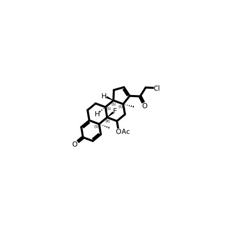 CC(=O)OC1C[C@]2(C)C(C(=O)CCl)=CC[C@H]2[C@@H]2CCC3=CC(=O)C=C[C@]3(C)[C@@]12F